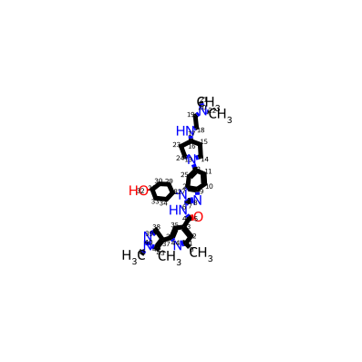 Cc1cc(C(=O)Nc2nc3ccc(N4CCC(NCCN(C)C)CC4)cc3n2[C@H]2CC[C@@H](O)CC2)cc(-c2cnn(C)c2C)n1